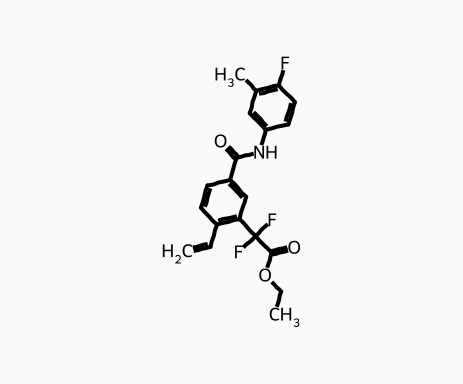 C=Cc1ccc(C(=O)Nc2ccc(F)c(C)c2)cc1C(F)(F)C(=O)OCC